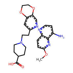 COc1ccc2nccc(N)c2n1.O=C(O)C1CCN(CCc2cc3c(cn2)OCCO3)CC1